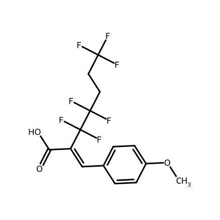 COc1ccc(C=C(C(=O)O)C(F)(F)C(F)(F)CCC(F)(F)F)cc1